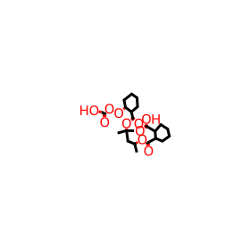 CC(CC(C)(C)OC(=O)C1CCCCC1OOC(=O)O)OC(=O)C1CCCCC1C(=O)O